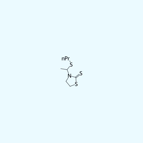 CCCSC(C)N1CCSC1=S